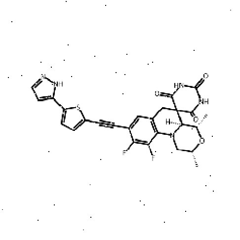 C[C@@H]1CN2c3c(cc(C#Cc4ccc(-c5ccn[nH]5)s4)c(F)c3F)CC3(C(=O)NC(=O)NC3=O)[C@H]2[C@H](C)O1